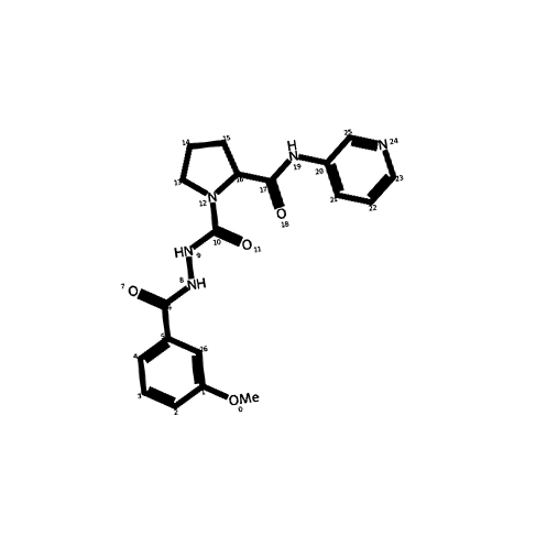 COc1cccc(C(=O)NNC(=O)N2CCCC2C(=O)Nc2cccnc2)c1